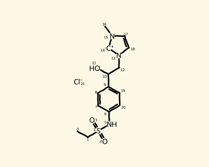 CCS(=O)(=O)Nc1ccc(C(O)CN2[C+]N(C)C=C2)cc1.[Cl-]